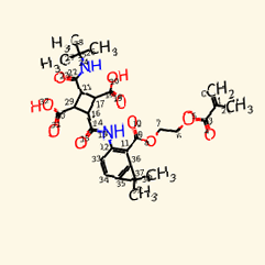 C=C(C)C(=O)OCCOC(=O)c1c(NC(=O)C2C(C(=O)O)C(C(=O)NC(C)(C)C)C2C(=O)O)ccc2c1C2(C)C